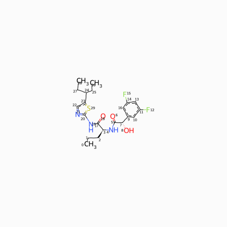 CCC[C@H](NC(=O)[C@@H](O)c1cc(F)cc(F)c1)C(=O)Nc1ncc(C(CC)CC)s1